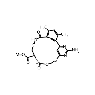 COC(=O)C1CCNC(=O)c2cc(c(C)cc2C)-c2cc(nc(N)n2)SCCC(=O)N1